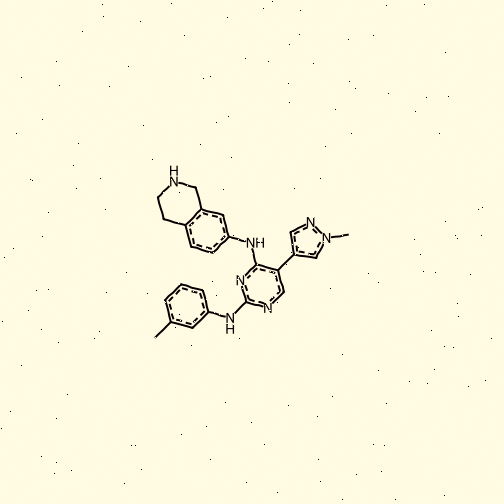 Cc1cccc(Nc2ncc(-c3cnn(C)c3)c(Nc3ccc4c(c3)CNCC4)n2)c1